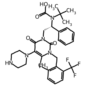 Cc1c(N2CCNCC2)c(=O)n(C[C@@H](c2ccccc2)N(C(=O)O)C(C)(C)C)c(=O)n1Cc1c(F)cccc1C(F)(F)F